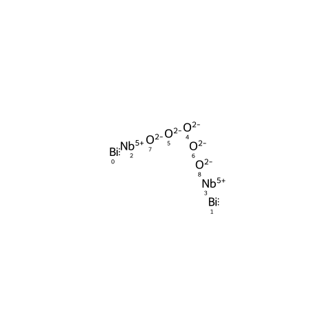 [Bi].[Bi].[Nb+5].[Nb+5].[O-2].[O-2].[O-2].[O-2].[O-2]